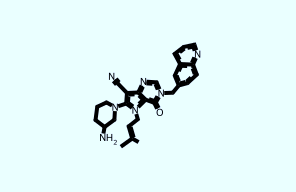 CC(C)=CCn1c(N2CCCC(N)C2)c(C#N)c2ncn(Cc3ccc4ncccc4c3)c(=O)c21